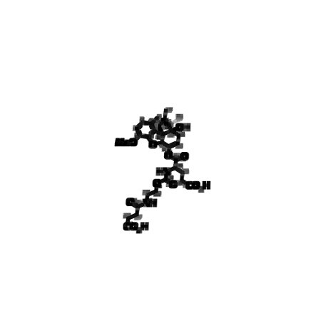 COc1ccc(C)c2c1OC1C(OC(=O)C(CCC(=O)O)NC(=O)OCCNC(=O)CCC(=O)O)=CC[C@@]3(O)[C@@H](C)N(C)CC[C@]213